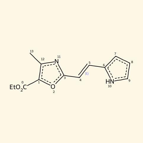 CCOC(=O)c1oc(/C=C/c2ccc[nH]2)nc1C